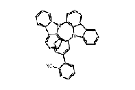 N#Cc1ccccc1-c1cccc(-n2c3ccccc3c3cccc(-n4c5ccccc5c5ccccc54)c32)c1